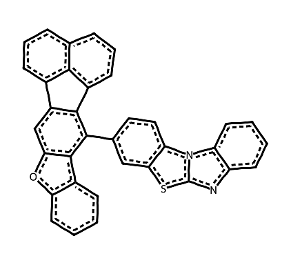 c1cc2c3c(cccc3c1)-c1c-2cc2oc3ccccc3c2c1-c1ccc2c(c1)sc1nc3ccccc3n12